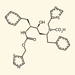 O=C(N[C@@H](Cc1ccccc1)[C@@H](O)C[C@H](Cc1ccccc1)N(Cc1cncs1)C(=O)O)OCc1cncs1